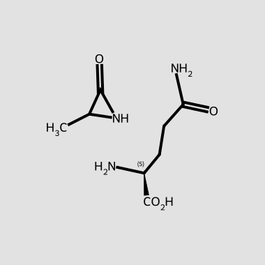 CC1NC1=O.NC(=O)CC[C@H](N)C(=O)O